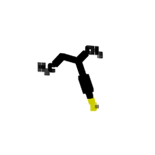 CCC(C)C#C[S]